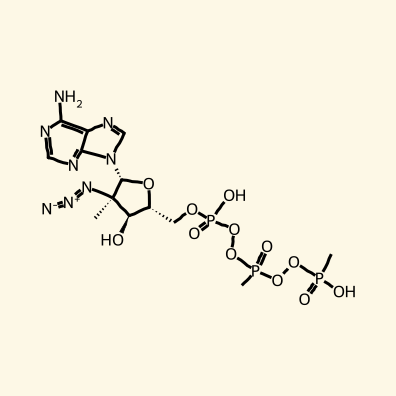 C[C@@]1(N=[N+]=[N-])[C@H](O)[C@@H](COP(=O)(O)OOP(C)(=O)OOP(C)(=O)O)O[C@H]1n1cnc2c(N)ncnc21